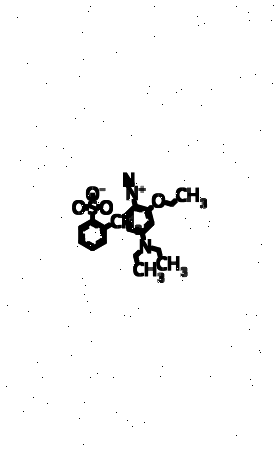 CCOc1cc(N(CC)CC)ccc1[N+]#N.Cc1ccccc1S(=O)(=O)[O-]